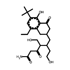 CCc1cc(C(C)(C)C)c(O)c2c1CC(CC(CCO)C(CO)C(=O)CC(N)=O)CC2=O